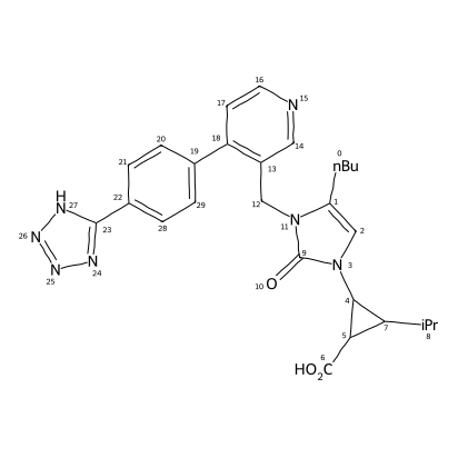 CCCCc1cn(C2C(C(=O)O)C2C(C)C)c(=O)n1Cc1cnccc1-c1ccc(-c2nnn[nH]2)cc1